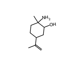 C=C(C)C1CCC(C)(N)C(O)C1